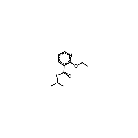 [CH2][C@H](C)OC(=O)c1cccnc1OCC